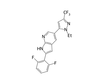 CCn1nc(C(F)(F)F)cc1-c1cnc2[nH]c(-c3c(F)cccc3F)cc2c1